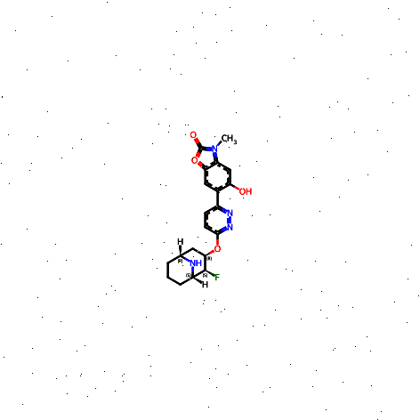 Cn1c(=O)oc2cc(-c3ccc(O[C@@H]4C[C@H]5CCC[C@H](N5)[C@@H]4F)nn3)c(O)cc21